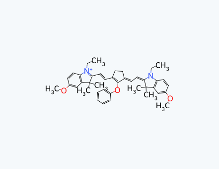 CCN1/C(=C/C=C2\CCC(/C=C/C3=[N+](CC)c4ccc(OC)cc4C3(C)C)=C2Oc2ccccc2)C(C)(C)c2cc(OC)ccc21